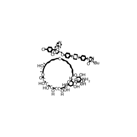 CCC(C)n1ncn(-c2ccc(N3CCN(c4ccc(OC[C@H]5CO[C@](Cn6cncn6)(c6ccc(Cl)cc6Cl)O5)cc4)CC3)cc2)c1=O.C[C@@H]1[C@H](O)[C@@H](C)/C=C/C=C/CC/C=C/C=C/C=C/C=C/[C@H](O[C@@H]2O[C@H](C)[C@@H](O)[C@H](N)[C@@H]2O)C[C@@H]2O[C@](O)(C[C@@H](O)[C@H](O)CC[C@@H](O)C[C@@H](O)C[C@@H](O)CC(=O)O[C@H]1C)C[C@H](O)[C@H]2C(=O)O